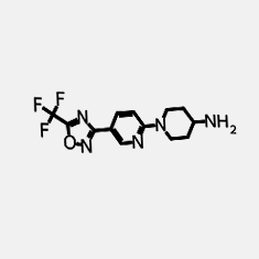 NC1CCN(c2ccc(-c3noc(C(F)(F)F)n3)cn2)CC1